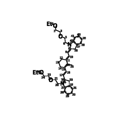 CCOCCOCCN1/C(=C/C=C2\CCCC(/C=C/C3=[N+](CCOCCOCC)c4ccccc4C3)=C2C)Cc2ccccc21